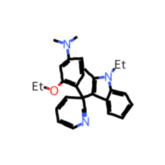 CCOc1cc(N(C)C)ccc1C1(c2c(C)n(CC)c3ccccc23)C=CC=CN=C1